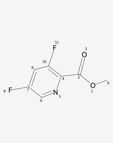 COC(=O)c1ncc(F)cc1F